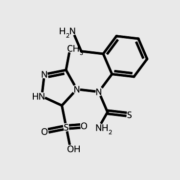 CC1=NNC(S(=O)(=O)O)N1N(C(N)=S)c1ccccc1CN